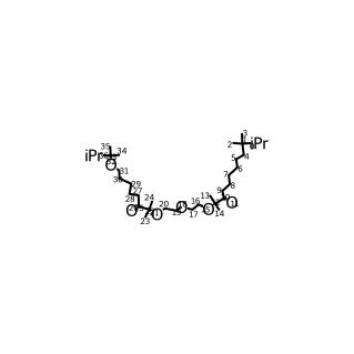 CC(C)C(C)(C)CCCCCCC(=O)C(C)(C)OCCOCCOC(C)(C)C(=O)CCCCCOC(C)(C)C(C)C